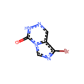 O=c1[nH]ncc2c(Br)ncn12